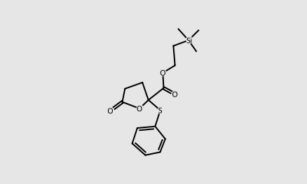 C[Si](C)(C)CCOC(=O)C1(Sc2ccccc2)CCC(=O)O1